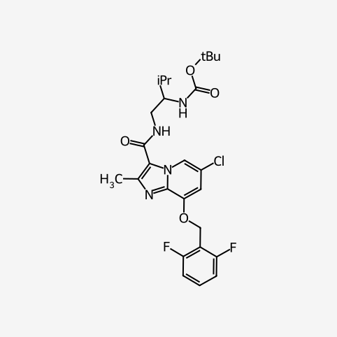 Cc1nc2c(OCc3c(F)cccc3F)cc(Cl)cn2c1C(=O)NCC(NC(=O)OC(C)(C)C)C(C)C